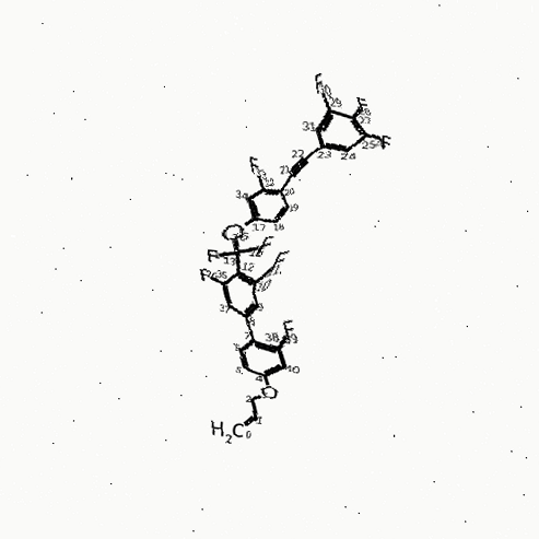 C=CCOc1ccc(-c2cc(F)c(C(F)(F)Oc3ccc(C#Cc4cc(F)c(F)c(F)c4)c(F)c3)c(F)c2)c(F)c1